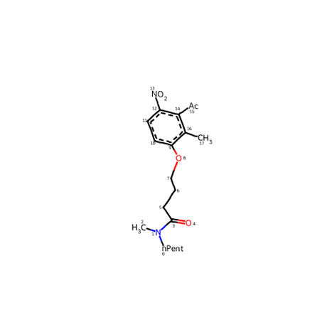 CCCCCN(C)C(=O)CCCOc1ccc([N+](=O)[O-])c(C(C)=O)c1C